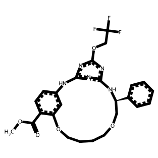 COC(=O)c1ccc2cc1OCCCCOC[C@H](c1ccccc1)Nc1nc(nc(OCC(F)(F)F)n1)N2